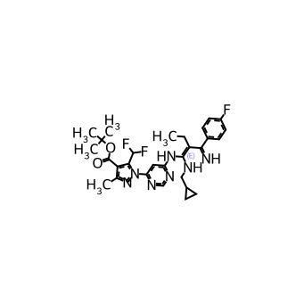 CC/C(C(=N)c1ccc(F)cc1)=C(/NCC1CC1)Nc1cc(-n2nc(C)c(C(=O)OC(C)(C)C)c2C(F)F)ncn1